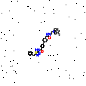 CN(C)CCNC(=O)CC1CCC(c2ccc(C(=O)Nc3nnc(Cc4ccccc4)s3)cc2)CC1